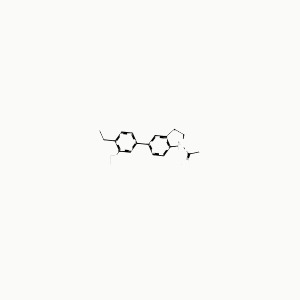 CCc1ccc(-c2ccc3c(c2)CCN3C(C)=O)cc1F